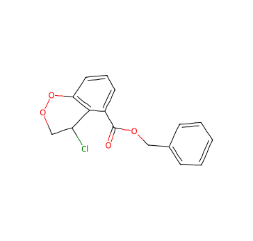 O=C(OCc1ccccc1)c1cccc2c1C(Cl)COO2